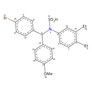 CCc1ccc(N(C(c2ccc(Br)cc2)c2ccc(OC)cc2)S(=O)(=O)O)cc1CC